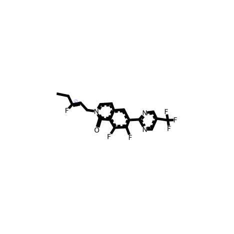 CC/C(F)=C/Cn1ccc2cc(-c3ncc(C(F)(F)F)cn3)c(F)c(F)c2c1=O